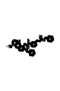 CCCN1CCC[C@@H]2Cc3c(ccc(OCc4ccccc4)c3OC(=O)Nc3cccc(CCC(=O)OCc4ccccc4)c3)CC21